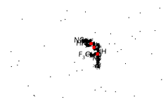 Cc1c(CN2CCC(Nc3cc(CCC(F)(F)F)nc(/C=C/CN(C)C)n3)CC2)ccc2[nH]c(C#N)cc12